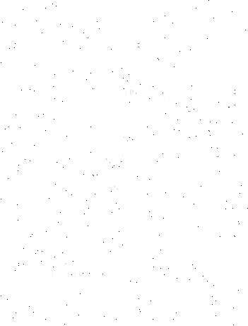 CC(C)(C)OC(=O)NC1CCN(C(=O)Nc2ncc(-c3cccc(OC(F)(F)F)c3)s2)CC1